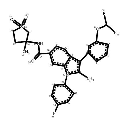 Cc1c(-c2cccc(OC(F)F)c2)c2ccc(C(=O)NC3(C)CCS(=O)(=O)C3)cc2n1-c1ccc(F)cc1